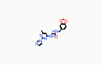 Cc1cc(NCC(=O)NCc2ccc3c(c2)OCO3)nc(-n2ccnc2)n1